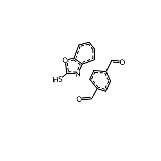 O=Cc1ccc(C=O)cc1.Sc1nc2ccccc2o1